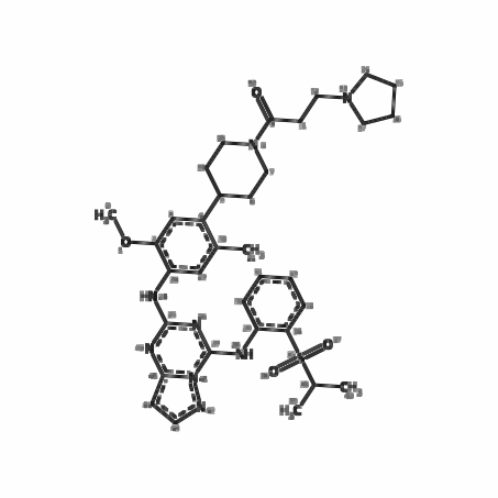 COc1cc(C2CCN(C(=O)CCN3CCCC3)CC2)c(C)cc1Nc1nc(Nc2ccccc2S(=O)(=O)C(C)C)n2nccc2n1